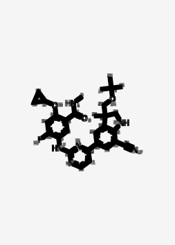 CNC(=O)c1cc(Nc2nccc(-c3cc(C#N)c4c(c3)C(C)(COC(C)(C)C)CN4)n2)c(F)cc1OC1CC1